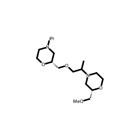 COC[C@@H]1CN(C(C)COC[C@H]2CN(C(C)C)CCO2)CCO1